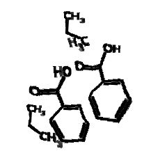 CCC.CCC.O=C(O)c1ccccc1.O=C(O)c1ccccc1